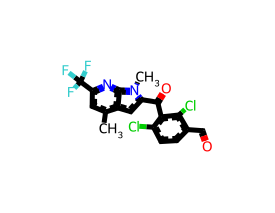 Cc1cc(C(F)(F)F)nc2c1cc(C(=O)c1c(Cl)ccc(C=O)c1Cl)n2C